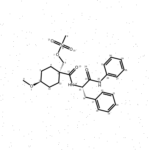 CO[C@H]1CC[C@@](COS(C)(=O)=O)(C(=O)N[C@@H](Cc2ccccc2)C(=O)Nc2ccccc2)CC1